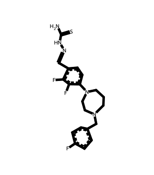 NC(=S)N/N=C/c1ccc(N2CCCN(Cc3ccc(F)cc3)CC2)c(F)c1F